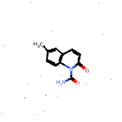 Cc1[c]c2ccc(=O)n(C(N)=O)c2cc1